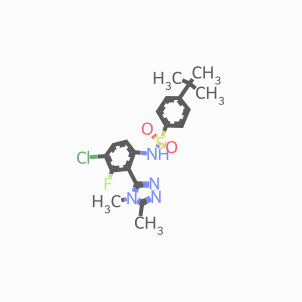 Cc1nnc(-c2c(NS(=O)(=O)c3ccc(C(C)(C)C)cc3)ccc(Cl)c2F)n1C